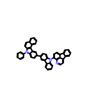 c1ccc(-n2c3ccc(-c4ccc5c(c4)c4ccccc4n5-c4ccc5c6c(ccnc46)-c4ccccc4-5)cc3c3c4ccccc4ccc32)cc1